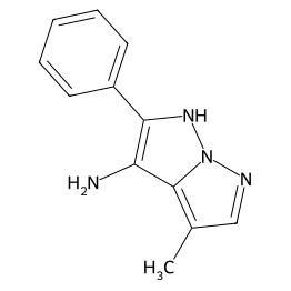 Cc1cnn2[nH]c(-c3ccccc3)c(N)c12